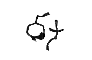 CC(C)(C)OC=O.OCC1CCNCC1